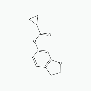 O=C(Oc1ccc2c(c1)OCC2)C1CC1